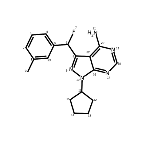 Cc1cccc(C(F)c2nn(C3CCCC3)c3ncnc(N)c23)c1